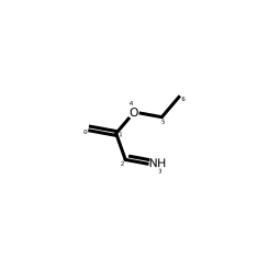 C=C(C=N)OCC